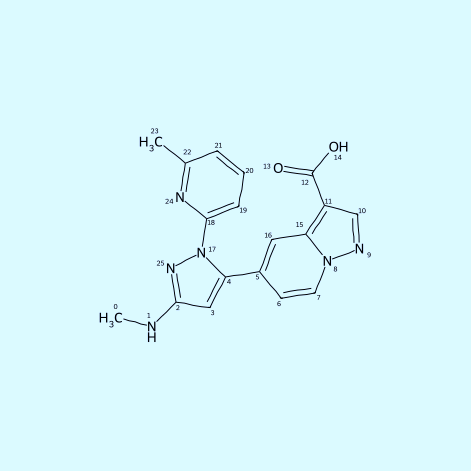 CNc1cc(-c2ccn3ncc(C(=O)O)c3c2)n(-c2cccc(C)n2)n1